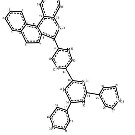 c1ccc2c(c1)ccc1c(-c3cnc(-c4nc(-c5ccncc5)nc(-c5ccncc5)n4)cn3)nc3ccccc3c12